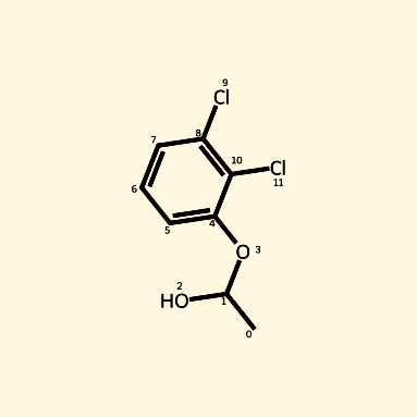 CC(O)Oc1cccc(Cl)c1Cl